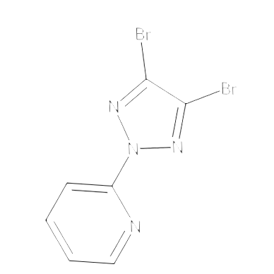 Brc1nn(-c2ccccn2)nc1Br